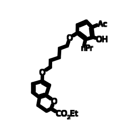 CCCc1c(OCCCCCOc2ccc3c(c2)OC(C(=O)OCC)CC3)ccc(C(C)=O)c1O